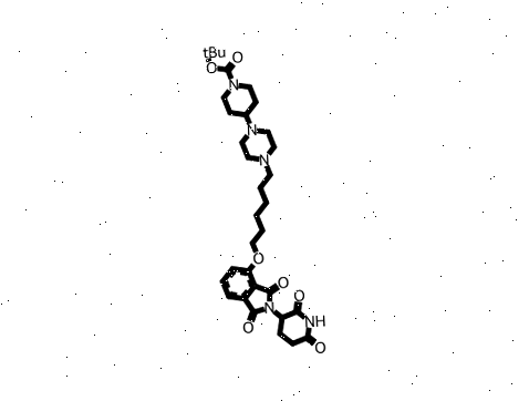 CC(C)(C)OC(=O)N1CCC(N2CCN(CCCCCCOc3cccc4c3C(=O)N(C3CCC(=O)NC3=O)C4=O)CC2)CC1